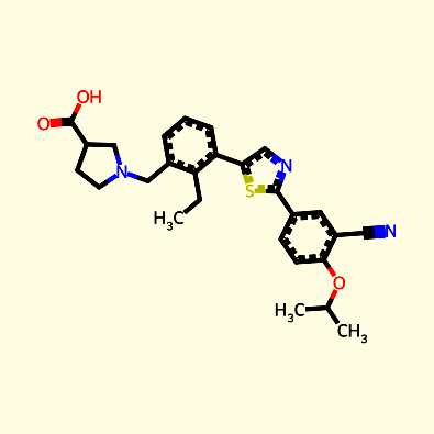 CCc1c(CN2CCC(C(=O)O)C2)cccc1-c1cnc(-c2ccc(OC(C)C)c(C#N)c2)s1